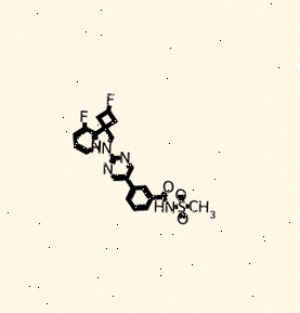 CS(=O)(=O)NC(=O)c1cccc(-c2cnc(NCC3(c4ncccc4F)CC(F)C3)nc2)c1